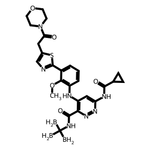 BC(B)(B)NC(=O)c1nnc(NC(=O)C2CC2)cc1Nc1cccc(-c2ncc(CC(=O)N3CCOCC3)s2)c1OC